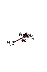 CCCCCCCCCCCCCCCCCC(=O)NC(C)(CCC)[N+](C)(C)O.O=C([O-])c1ccccc1